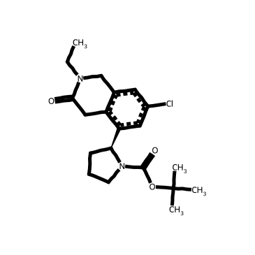 CCN1Cc2cc(Cl)cc([C@@H]3CCCN3C(=O)OC(C)(C)C)c2CC1=O